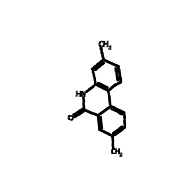 Cc1ccc2c(c1)[nH]c(=O)c1cc(C)ccc12